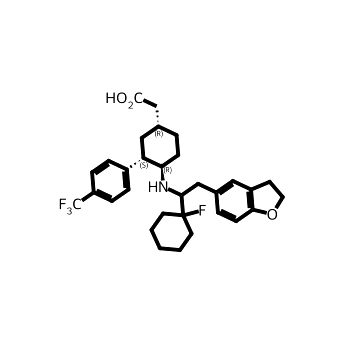 O=C(O)C[C@@H]1CC[C@@H](NC(Cc2ccc3c(c2)CCO3)C2(F)CCCCC2)[C@H](c2ccc(C(F)(F)F)cc2)C1